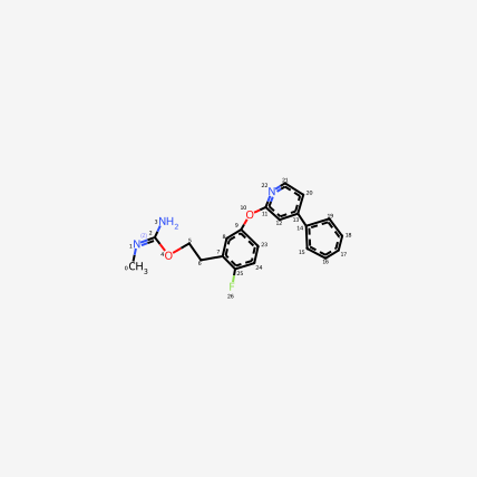 C/N=C(/N)OCCc1cc(Oc2cc(-c3ccccc3)ccn2)ccc1F